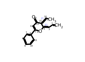 C=C/C=c1/oc(-c2ccccc2)cc(=O)/c1=C/C